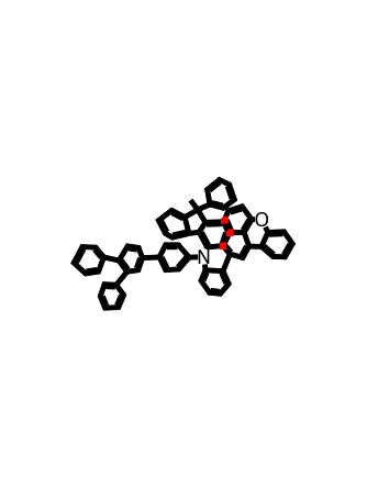 CC1(c2ccccc2)c2ccccc2-c2c(N(c3ccc(-c4ccc(-c5ccccc5)c(-c5ccccc5)c4)cc3)c3ccccc3-c3cc4c5c(cccc5c3)Oc3ccccc3-4)cccc21